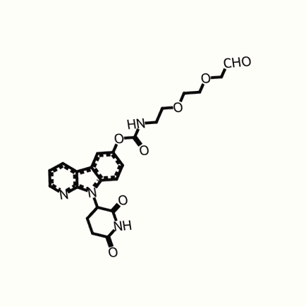 O=CCOCCOCCNC(=O)Oc1ccc2c(c1)c1cccnc1n2C1CCC(=O)NC1=O